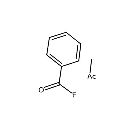 CC(C)=O.O=C(F)c1ccccc1